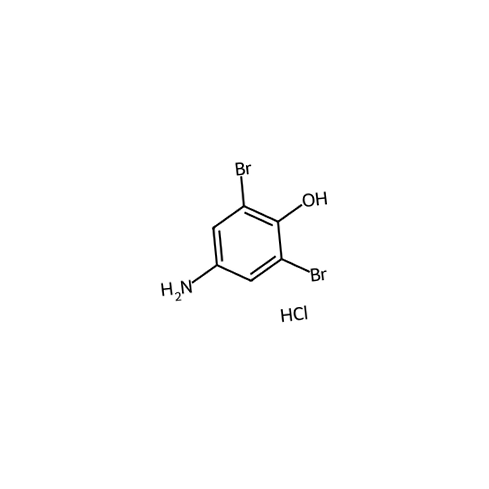 Cl.Nc1cc(Br)c(O)c(Br)c1